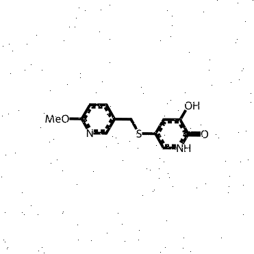 COc1ccc(CSc2c[nH]c(=O)c(O)c2)cn1